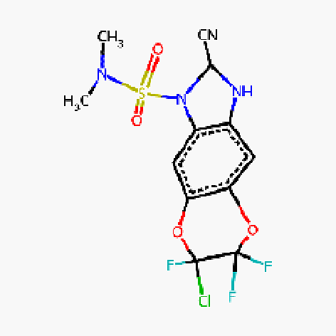 CN(C)S(=O)(=O)N1c2cc3c(cc2NC1C#N)OC(F)(F)C(F)(Cl)O3